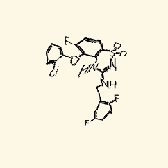 O=S1(=O)N=C(NCc2cc(F)ccc2F)Nc2c1ccc(F)c2Oc1ccccc1Cl